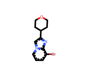 Brc1cccn2cc(C3CCOCC3)nc12